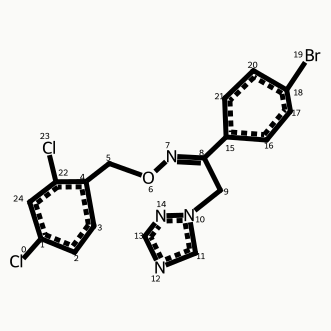 Clc1ccc(CON=C(Cn2cncn2)c2ccc(Br)cc2)c(Cl)c1